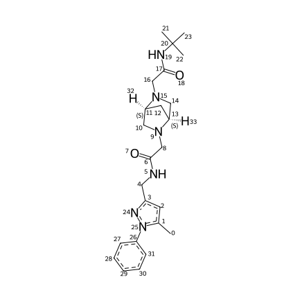 Cc1cc(CNC(=O)CN2C[C@@H]3C[C@H]2CN3CC(=O)NC(C)(C)C)nn1-c1ccccc1